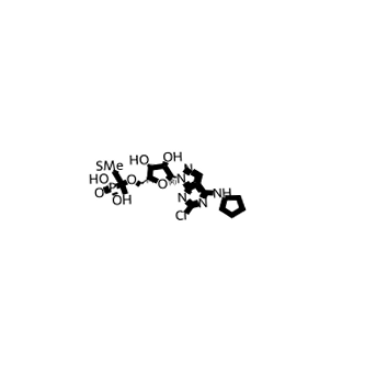 CSCC(C)(OC[C@H]1O[C@@H](n2ncc3c(NC4CCCC4)nc(Cl)nc32)C(O)[C@@H]1O)P(=O)(O)O